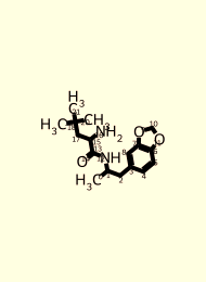 CC(Cc1ccc2c(c1)OCO2)NC(=O)C(N)CC(C)(C)C